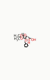 CC1(C)OC2[C@H](O[C@H](CC(O)CO)[C@@H]2OCc2ccccc2)O1